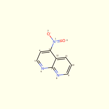 O=[N+]([O-])c1ccnc2ncccc12